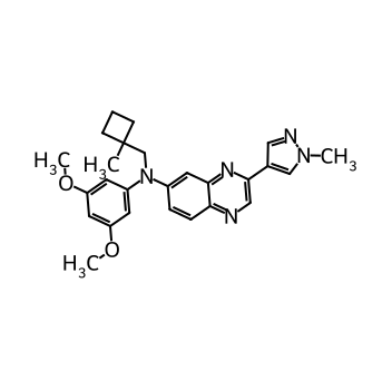 COc1cc(OC)cc(N(CC2(C)CCC2)c2ccc3ncc(-c4cnn(C)c4)nc3c2)c1